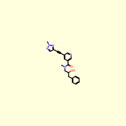 CN(CC(O)Cc1ccccc1)C(=O)c1cncc(C#Cc2cnn(C)n2)c1